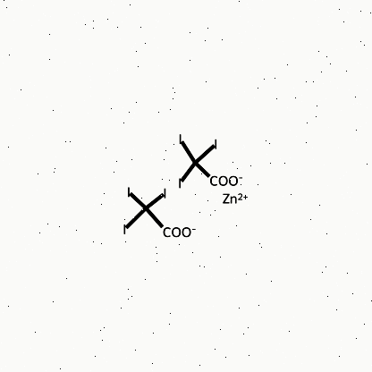 O=C([O-])C(I)(I)I.O=C([O-])C(I)(I)I.[Zn+2]